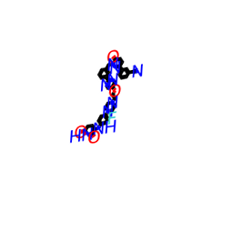 N#Cc1cccc(-c2ccc(=O)n(Cc3cccc(-c4ncc(OCCN5CCN(c6ccc(NC7CCC(=O)NC7=O)cc6F)CC5)cn4)c3)n2)c1